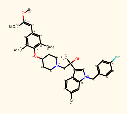 [C-]#[N+]c1ccc2c(C(O)(CN3CCC(Oc4c(OC)cc(/C=C(/OCC)C(=O)OCC)cc4OC)CC3)C(F)(F)F)cn(Cc3ccc(F)cc3)c2c1